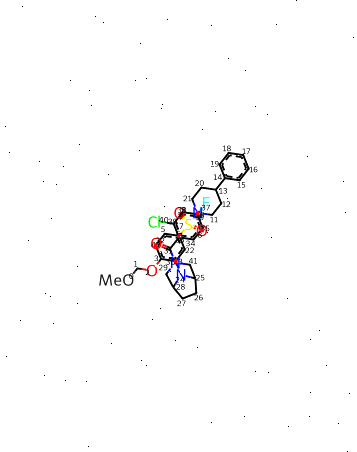 COCOc1ccc(S(=O)(=O)N2CCC(c3ccccc3)CC2)cc1N1C2CCC1CN(C(=O)c1ccc(F)cc1Cl)C2